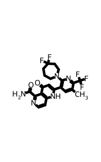 Cc1cc(-c2cc(=O)c3c(C(N)=O)nccc3[nH]2)c(N2CCCC(F)(F)CC2)nc1C(F)(F)F